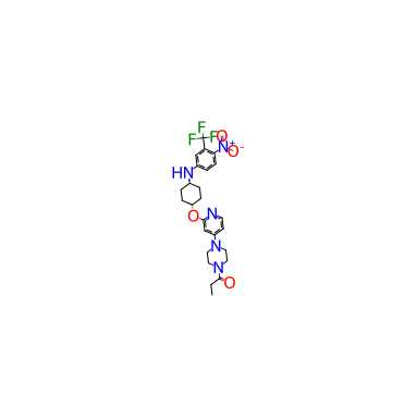 CCC(=O)N1CCN(c2ccnc(O[C@H]3CC[C@H](Nc4ccc([N+](=O)[O-])c(C(F)(F)F)c4)CC3)c2)CC1